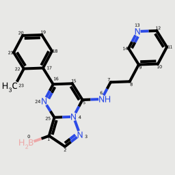 Bc1cnn2c(NCCc3cccnc3)cc(-c3ccccc3C)nc12